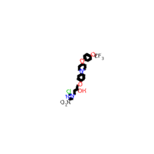 O=[N+]([O-])c1cn(CC[C@H](O)COc2ccc(N3CCC(Oc4ccc(OC(F)(F)F)cc4)CC3)cc2)c(Cl)n1